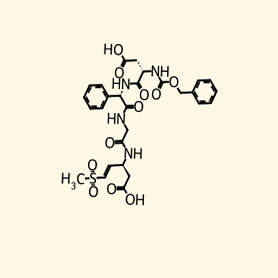 CS(=O)(=O)/C=C/[C@H](CC(=O)O)NC(=O)CNC(=O)[C@@H](NC(=O)[C@H](CC(=O)O)NC(=O)OCc1ccccc1)c1ccccc1